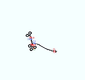 CC(C)(C)OC(=O)CCCCCCCCCCCCCCCCC(=O)N[C@@H](CCCCNC(=O)OCC1c2ccccc2-c2ccccc21)C(=O)OC(c1ccccc1)(c1ccccc1)c1ccccc1Cl